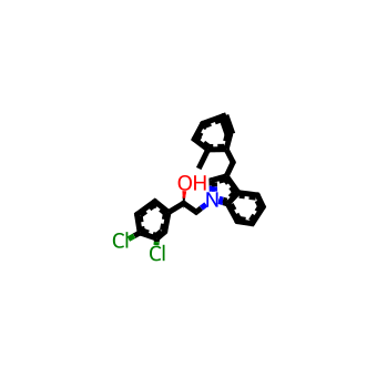 Cc1ccc#cc1Cc1cn(C[C@H](O)c2ccc(Cl)c(Cl)c2)c2ccccc12